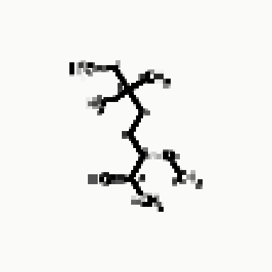 CCC(C)(C)CCC(OC)C(C)=O